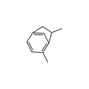 Cc1ccc2cc1C(C)C2